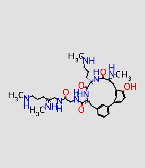 CNCCC[C@@H](CNC(=O)CNC(=O)[C@@H]1Cc2cccc(c2)-c2ccc(O)c(c2)C[C@H](NC)C(=O)N[C@@H](CCCNC)C(=O)N1)NC